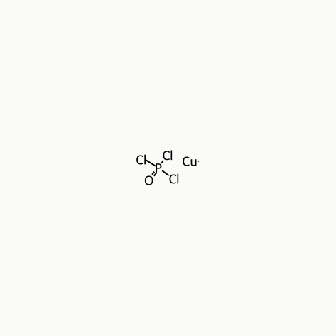 O=P(Cl)(Cl)Cl.[Cu]